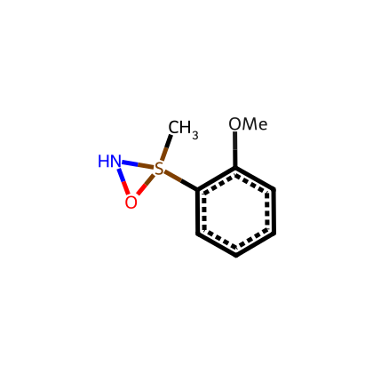 COc1ccccc1S1(C)NO1